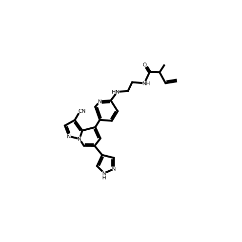 C=CC(C)C(=O)NCCNc1ccc(-c2cc(-c3cn[nH]c3)cn3ncc(C#N)c23)cn1